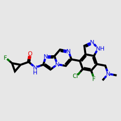 CN(C)Cc1c(F)c(Cl)c(-c2cn3cc(NC(=O)C4CC4F)nc3cn2)c2cn[nH]c12